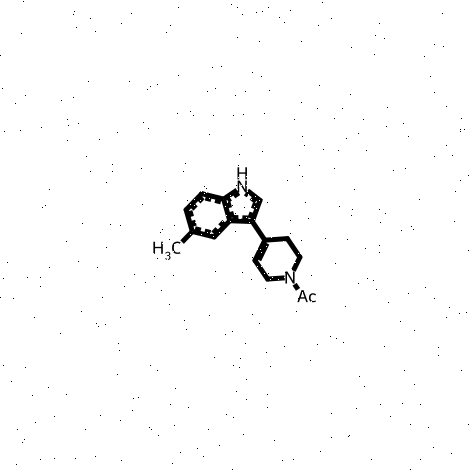 CC(=O)N1CC=C(c2c[nH]c3ccc(C)cc23)CC1